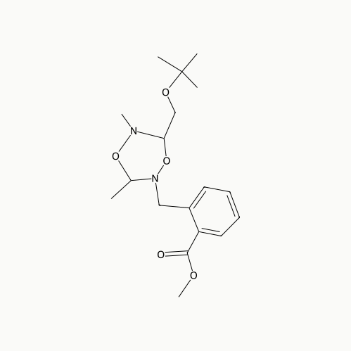 COC(=O)c1ccccc1CN1OC(COC(C)(C)C)N(C)OC1C